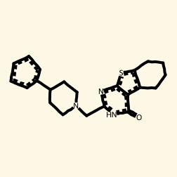 O=c1[nH]c(CN2CCC(c3ccccc3)CC2)nc2sc3c(c12)CCCC3